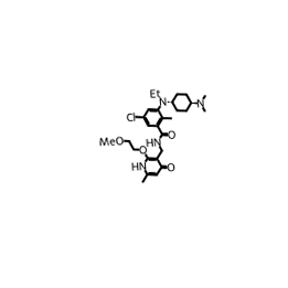 CCN(c1cc(Cl)cc(C(=O)NCc2c(OCCOC)[nH]c(C)cc2=O)c1C)[C@H]1CC[C@H](N(C)C)CC1